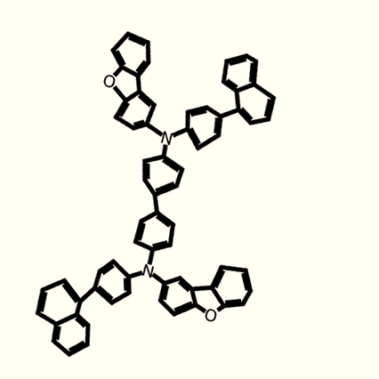 c1ccc2c(-c3ccc(N(c4ccc(-c5ccc(N(c6ccc(-c7cccc8ccccc78)cc6)c6ccc7oc8ccccc8c7c6)cc5)cc4)c4ccc5oc6ccccc6c5c4)cc3)cccc2c1